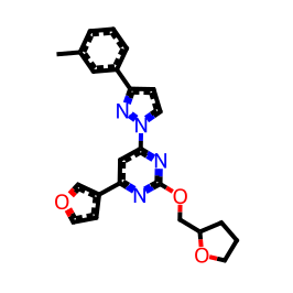 Cc1cccc(-c2ccn(-c3cc(-c4ccoc4)nc(OCC4CCCO4)n3)n2)c1